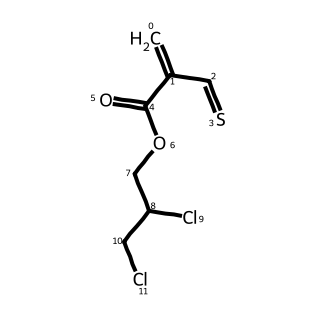 C=C(C=S)C(=O)OCC(Cl)CCl